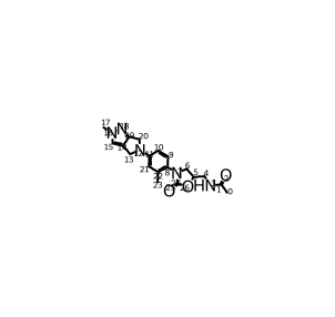 CC(=O)NCC1CN(c2ccc(N3Cc4cn(C)nc4C3)cc2C)C(=O)O1